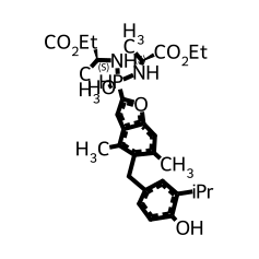 CCOC(=O)[C@H](C)N[PH](O)(N[C@@H](C)C(=O)OCC)c1cc2c(C)c(Cc3ccc(O)c(C(C)C)c3)c(C)cc2o1